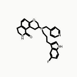 O=C1NCCc2ccc3c(c21)CC(N(CCCc1c[nH]c2ccc(F)cc12)Cc1ccncc1)CO3